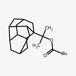 CCC(C)C(=O)OC(C)(C)C12CC3CC4C5CC(CC41)CC2C5C3